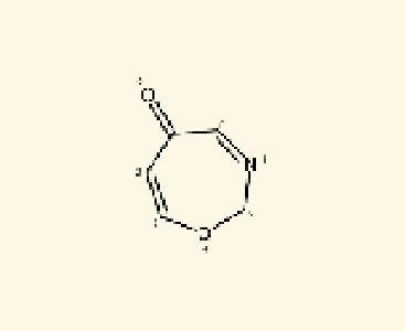 O=C1C=COCN=C1